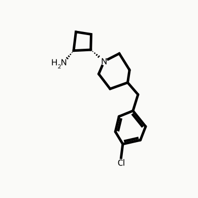 N[C@@H]1CC[C@@H]1N1CCC(Cc2ccc(Cl)cc2)CC1